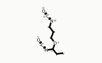 [CH2]CC(N=C=O)OCCCN=C=O